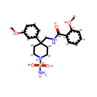 COc1cccc(C2(CNC(=O)c3ccccc3OC)CCN(S(N)(=O)=O)CC2)c1